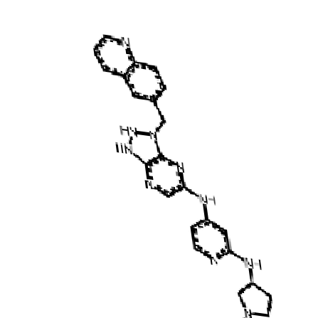 CN1CC[C@H](Nc2cc(Nc3cnc4c(n3)N(Cc3ccc5ncccc5c3)NN4)ccn2)C1